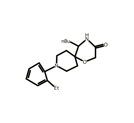 CCCCC1NC(=O)COC12CCN(c1ccccc1CC)CC2